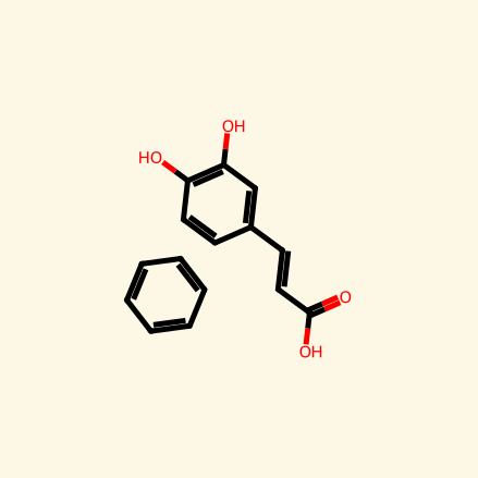 O=C(O)/C=C/c1ccc(O)c(O)c1.c1ccccc1